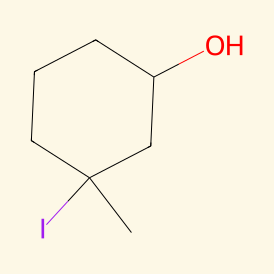 CC1(I)CCCC(O)C1